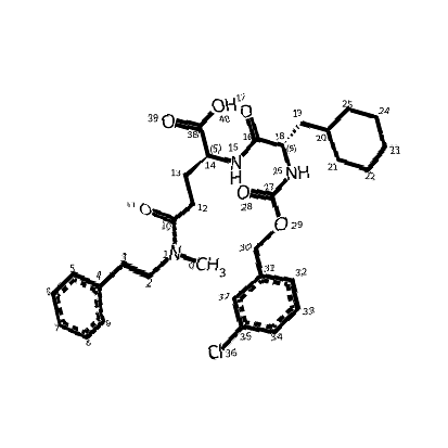 CN(CCc1ccccc1)C(=O)CC[C@H](NC(=O)[C@H](CC1CCCCC1)NC(=O)OCc1cccc(Cl)c1)C(=O)O